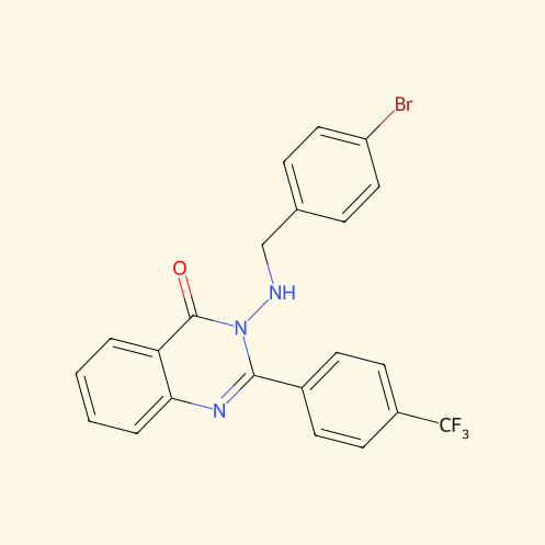 O=c1c2ccccc2nc(-c2ccc(C(F)(F)F)cc2)n1NCc1ccc(Br)cc1